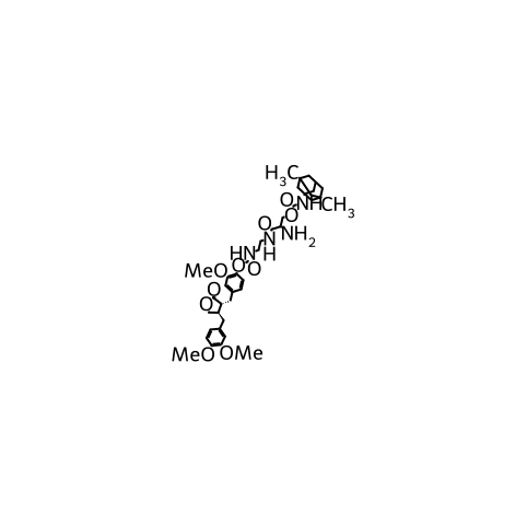 COc1ccc(C[C@H]2COC(=O)[C@@H]2Cc2ccc(OC(=O)NCCNC(=O)[C@@H](N)COC(=O)NC34CC5CC(C)(CC(C)(C5)C3)C4)c(OC)c2)cc1OC